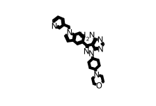 Nc1ncnc2c1c(-c1ccc3c(ccn3Cc3cccnc3)c1)nn2C1CCC(N2CCOCC2)CC1